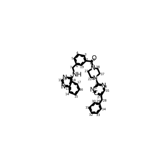 O=C(c1cccc(CNc2ncnc3ccccc23)c1)N1CCN(c2ncc(Cc3ccccc3)cn2)CC1